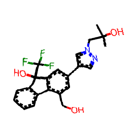 CC(C)(O)Cn1cc(-c2cc(CO)c3c(c2)C(O)(C(F)(F)F)c2ccccc2-3)cn1